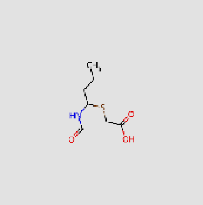 CCCC(NC=O)SCC(=O)O